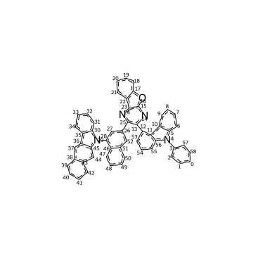 c1ccc(-n2c3ccccc3c3c(-c4nc5oc6ccccc6c5nc4-c4cc(-n5c6ccccc6c6cc7ccccc7cc65)c5ccccc5c4)cccc32)cc1